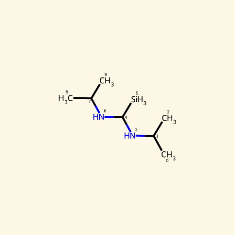 CC(C)NC([SiH3])NC(C)C